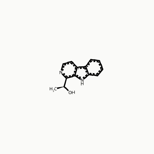 C[C@H](O)c1nccc2c1[nH]c1ccccc12